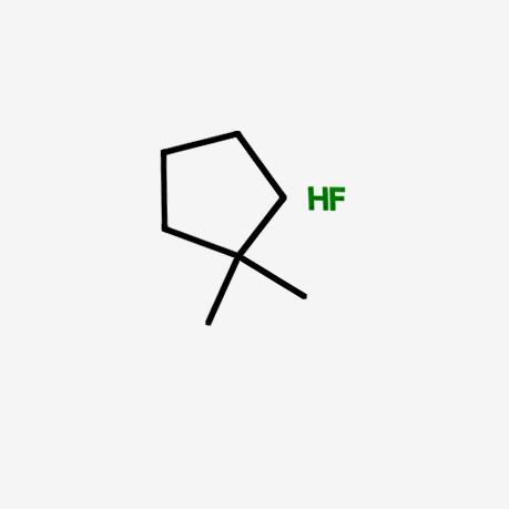 CC1(C)CCCC1.F